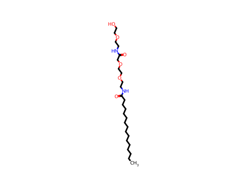 CCCCCCCCCCCCCCCC(=O)NCCOCCOCC(=O)NCCOCCO